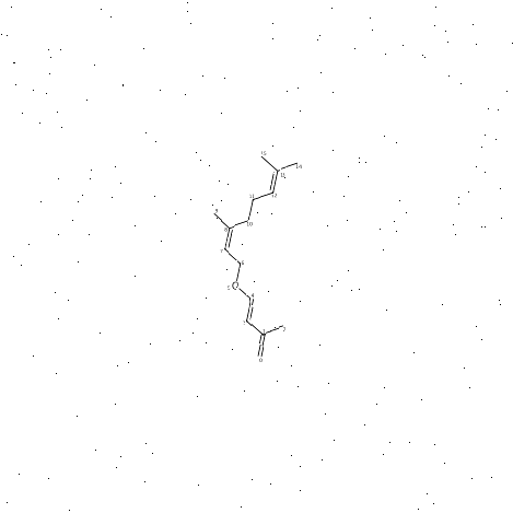 C=C(C)C=COCC=C(C)CCC=C(C)C